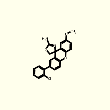 COc1ccc2c(c1)C1(COC(N)=N1)c1cc(-c3ccccc3Cl)ccc1O2